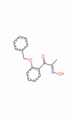 CC(=NO)C(=O)c1ccccc1OCc1ccccc1